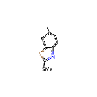 CSc1nc2ccc(C)cc2s1